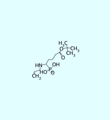 C=CCNC(CCCC(=O)OC(C)(C)C)P(=O)(O)O